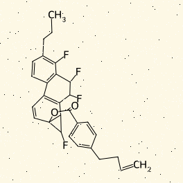 C=CCCc1ccc(C(=O)OC23C=CC4=C(C(F)C(F)c5c4ccc(CCC)c5F)C2C3F)cc1